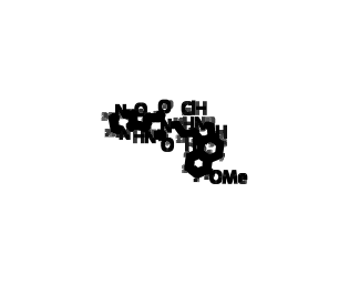 COc1cccc2c1CC[C@H]1CNC(CCn3c(=O)[nH]c4c(oc5nccnc54)c3=O)[C@@H]21.Cl